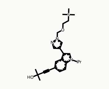 CC(C)n1cc(-c2cnn(COCCS(C)(C)C)c2)c2cc(C#CC(C)(C)O)ccc21